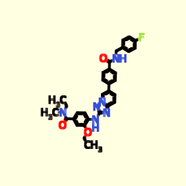 CCOc1cc(C(=O)N(C)CC)ccc1Nc1nc2ccc(-c3ccc(C(=O)NCc4ccc(F)cc4)cc3)cn2n1